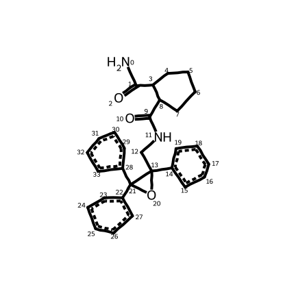 NC(=O)C1CCCCC1C(=O)NCC1(c2ccccc2)OC1(c1ccccc1)c1ccccc1